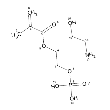 C=C(C)C(=O)OCCOP(=O)(O)O.NCCO